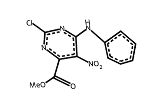 COC(=O)c1nc(Cl)nc(Nc2ccccc2)c1[N+](=O)[O-]